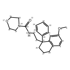 COc1ccc2c(c1)C(CCNC(=O)N1CCOCC1)(c1ccccc1)CCC2